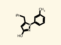 Cc1cccc(-n2nc(O)cc2CC(C)C)c1